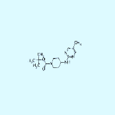 Cc1cnc(NC2CCN(C(=O)OC(C)(C)C)CC2)nc1